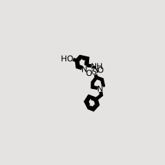 O=S(=O)(Nc1ccc(O)cn1)C1CCN(Cc2ccccc2)CC1